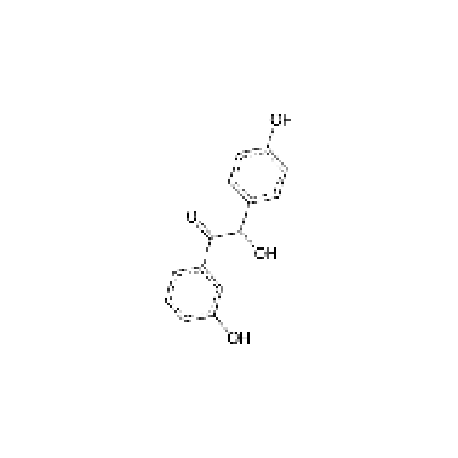 O=C(c1cccc(O)c1)C(O)c1ccc(O)cc1